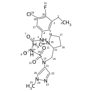 CCc1cc(NC(=O)[NH+]([O-])S(=O)(=O)N(CC2CCCN2C)c2cnn(C)c2)cc(Cl)c1F